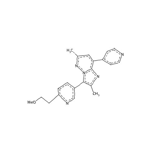 COCCc1ccc(-c2c(C)nc3c(-c4ccncc4)cc(C)nn23)cn1